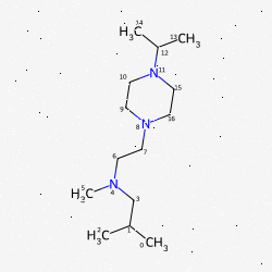 CC(C)CN(C)CCN1CCN(C(C)C)CC1